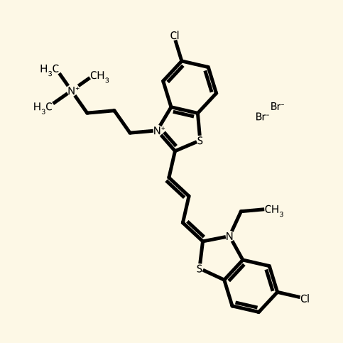 CCN1C(=CC=Cc2sc3ccc(Cl)cc3[n+]2CCC[N+](C)(C)C)Sc2ccc(Cl)cc21.[Br-].[Br-]